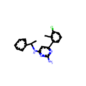 Cc1c(Cl)cccc1-c1cc(NC(C)c2ccccc2)nc(N)n1